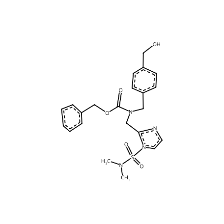 CN(C)S(=O)(=O)n1ccnc1CN(Cc1ccc(CO)cc1)C(=O)OCc1ccccc1